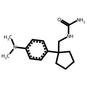 CN(C)c1ccc(C2(CNC(N)=O)CCCC2)cc1